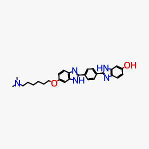 CN(C)CCCCCCOc1ccc2nc(-c3ccc(-c4nc5ccc(O)cc5[nH]4)cc3)[nH]c2c1